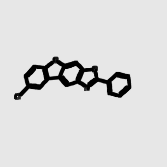 Clc1ccc2oc3cc4oc(-c5ccccc5)nc4cc3c2c1